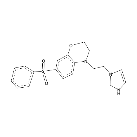 O=S(=O)(c1ccccc1)c1ccc2c(c1)OCCN2CCN1C=CNC1